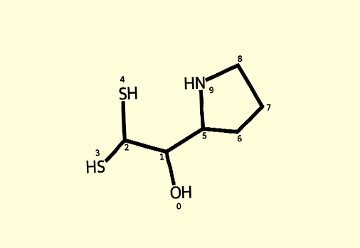 OC(C(S)S)C1CCCN1